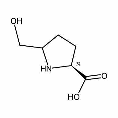 O=C(O)[C@@H]1CCC(CO)N1